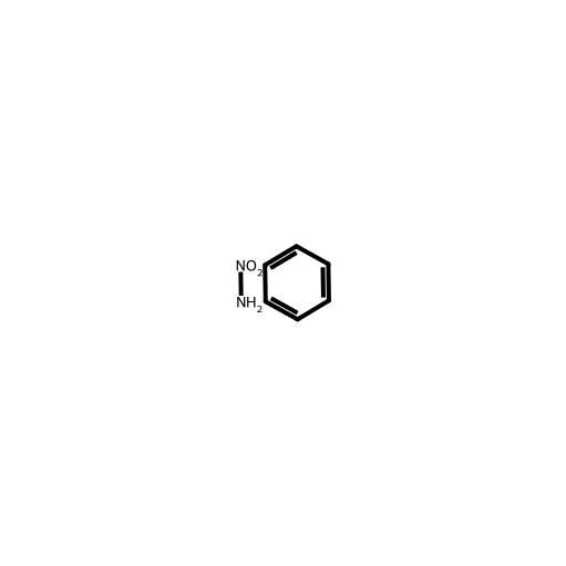 N[N+](=O)[O-].c1ccccc1